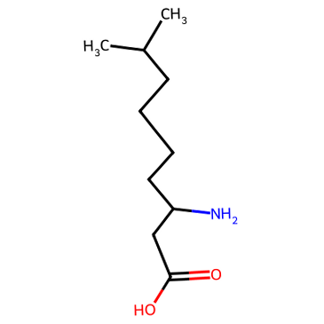 CC(C)CCCCC(N)CC(=O)O